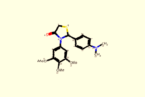 COc1cc(N2C(=O)CSC2c2ccc(N(C)C)cc2)cc(OC)c1OC